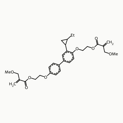 C=C(COC)C(=O)OCCOc1ccc(-c2ccc(OCCOC(=O)C(=C)COC)c(C3CC3CC)c2)cc1